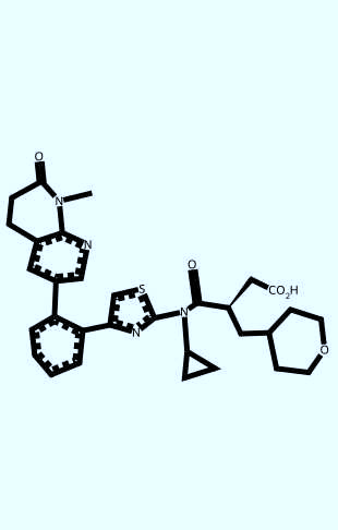 CN1C(=O)CCc2cc(-c3ccccc3-c3csc(N(C(=O)[C@@H](CC(=O)O)CC4CCOCC4)C4CC4)n3)cnc21